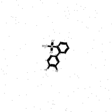 CS(=O)(=O)c1ccc[c]c1-c1ccc(F)c(F)c1